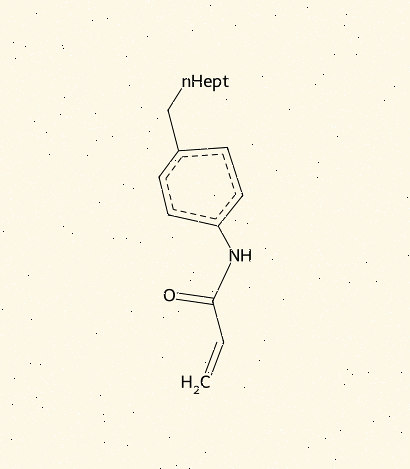 C=CC(=O)Nc1ccc(CCCCCCCC)cc1